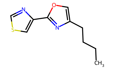 CCCCc1coc(-c2cscn2)n1